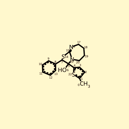 Cc1ccc(C2(O)C(c3ccccc3)SC3=NCCCCN32)s1